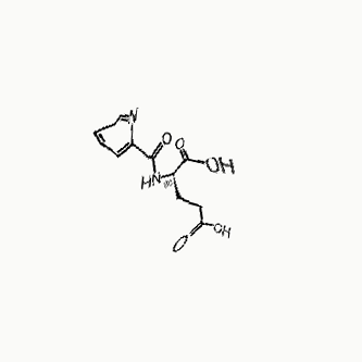 O=C(O)CC[C@@H](NC(=O)c1ccccn1)C(=O)O